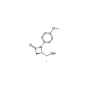 COc1ccc(N2C(=O)C[C@@H]2[C@@H](C)O)cc1